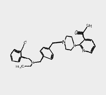 CCN(Cc1ccc(CN2CCN(c3ncccc3C(=O)O)CC2)cc1)Cc1ccccc1Cl